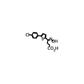 O=C(O)CCC(=NO)c1ccc(-c2ccc(Cl)cc2)s1